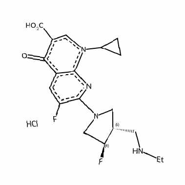 CCNC[C@H]1CN(c2nc3c(cc2F)c(=O)c(C(=O)O)cn3C2CC2)C[C@@H]1F.Cl